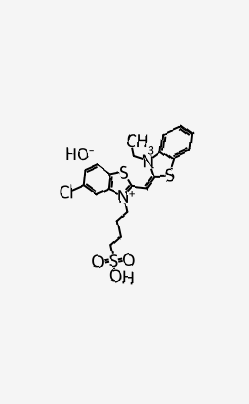 CCN1C(=Cc2sc3ccc(Cl)cc3[n+]2CCCCS(=O)(=O)O)Sc2ccccc21.[OH-]